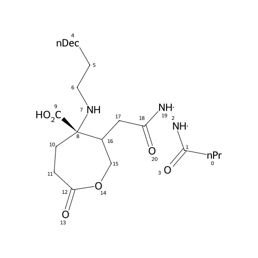 CCCC([NH])=O.CCCCCCCCCCCCN[C@@]1(C(=O)O)CCC(=O)OCC1CC([NH])=O